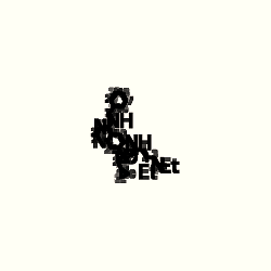 CCN(CC)C/C=C/C(=O)Nc1cc2c(NCc3ccccc3)ncnc2cc1OCC1CC1